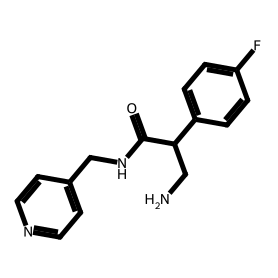 NCC(C(=O)NCc1ccncc1)c1ccc(F)cc1